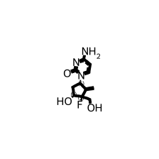 C=C1[C@@H](n2ccc(N)nc2=O)C[C@H](O)[C@@]1(F)CO